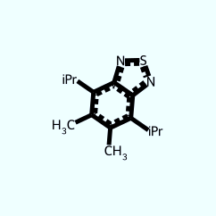 Cc1c(C)c(C(C)C)c2nsnc2c1C(C)C